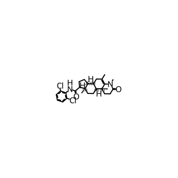 CC1=C2N(C)C(=O)CC[C@]2(C)[C@@H]2CC[C@]3(C)C(C(=O)Nc4c(Cl)cccc4Cl)CC[C@H]3[C@@H]2C1